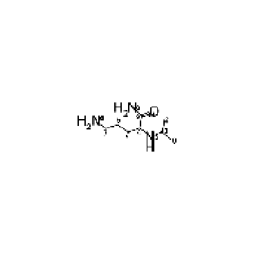 CC(C)NC(CCCN)C(N)=O